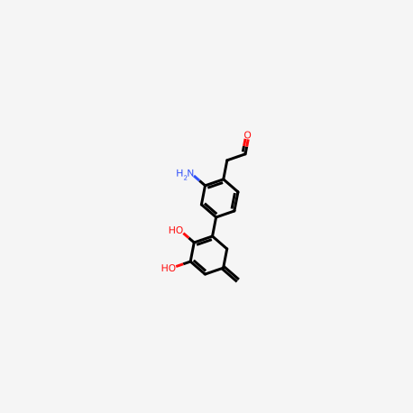 C=C1C=C(O)C(O)=C(c2ccc(CC=O)c(N)c2)C1